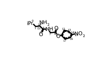 CC(C)C[C@H](N)C(=O)NCC(=O)Oc1ccc([N+](=O)[O-])cc1